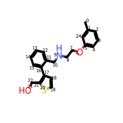 Cc1cccc(OCCNCc2ccccc2-c2ccsc2CO)c1